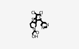 O=C(CO)N1CCc2sc3c(Cl)c(Cl)cc(-c4cncnc4)c3c2C1